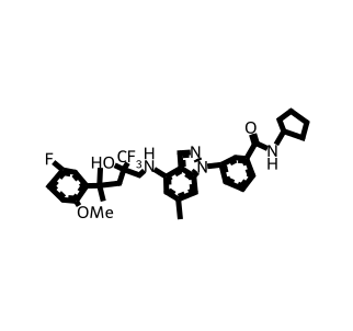 COc1ccc(F)cc1C(C)(C)CC(O)(CNc1cc(C)cc2c1cnn2-c1cccc(C(=O)NC2CCCC2)c1)C(F)(F)F